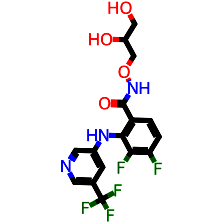 O=C(NOCC(O)CO)c1ccc(F)c(F)c1Nc1cncc(C(F)(F)F)c1